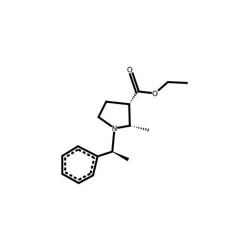 CCOC(=O)[C@H]1CCN([C@@H](C)c2ccccc2)[C@H]1C